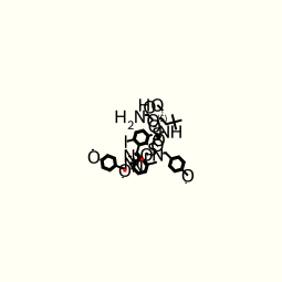 COc1ccc(CN(Cc2ccc(OC)cc2)S(=O)(=O)c2c(S(=O)(=O)NC([C@@H](CO)OC(N)=O)C(C)(C)C)ccc(I)c2-c2nnn(Cc3ccc(OC)cc3)n2)cc1